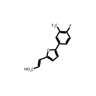 O=C(O)/C=C/c1ccc(-c2ccc(F)c(C(F)(F)F)c2)o1